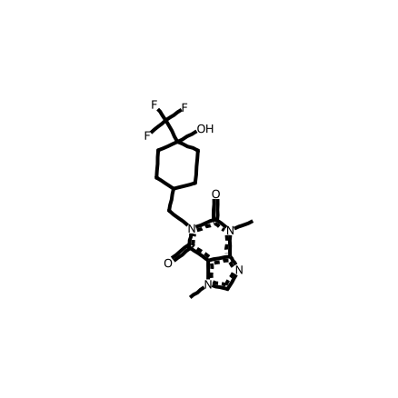 Cn1cnc2c1c(=O)n(CC1CCC(O)(C(F)(F)F)CC1)c(=O)n2C